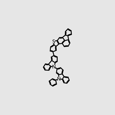 c1ccc(-n2c3ccccc3c3ccc(-n4c5ccccc5c5cc(-c6ccc7sc8cc9c%10c(cccc%10c8c7c6)-c6ccccc6-9)ccc54)cc32)cc1